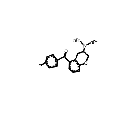 CCCN(CCC)C1COc2cccc(C(=O)c3ccc(F)cc3)c2C1